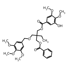 CCC(COCc1cc(OC)c(OC)c(OC)c1)(COC(=O)c1ccccc1)COC(=O)c1cc(O)c(OC)c(OC)c1